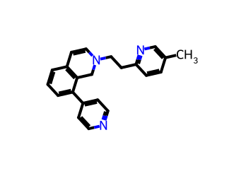 Cc1ccc(CCN2C=Cc3cccc(-c4ccncc4)c3C2)nc1